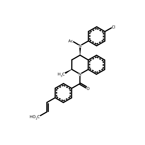 CC(=O)N(c1ccc(Cl)cc1)[C@@H]1C[C@H](C)N(C(=O)c2ccc(/C=C/C(=O)O)cc2)c2ccccc21